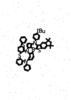 CC(C)(C)c1ccc(N2c3cccc4c3B(c3ccc5cc3N4c3c(ccc4c3sc3ccccc34)Sc3ccccc3N5c3ccccc3)c3sc4cc5c(cc4c32)C(C)(C)CC5(C)C)cc1